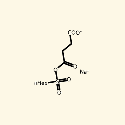 CCCCCCS(=O)(=O)OC(=O)CCC(=O)[O-].[Na+]